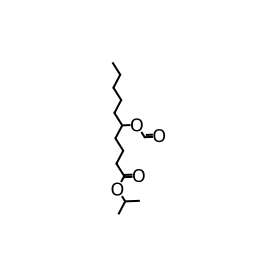 CCCCCC(CCCC(=O)OC(C)C)OC=O